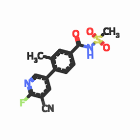 Cc1cc(C(=O)NS(C)(=O)=O)ccc1-c1cnc(F)c(C#N)c1